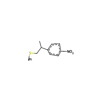 CC(C)SCC(C)c1ccc([N+](=O)[O-])cc1